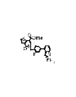 COC(=O)c1cn(Cc2c(F)cc(-c3cccc4nn(C)cc34)cc2F)c(=O)c2ccsc12